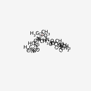 Cc1cc(C(=O)c2ccc(-c3cnn(CC45CC6(C)CC(C)(C4)CC(OCCNCCS(=O)(=O)OCC(C)(C)CCO[Si](c4ccccc4)(c4ccccc4)C(C)(C)C)(C6)C5)c3C)c(C(=O)O)n2)nnc1Cl